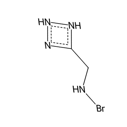 BrNCc1n[nH][nH]1